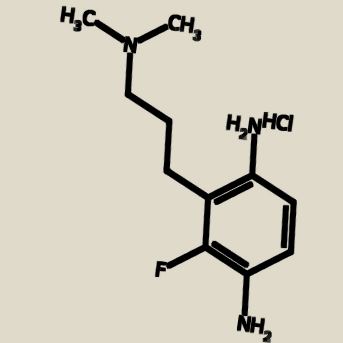 CN(C)CCCc1c(N)ccc(N)c1F.Cl